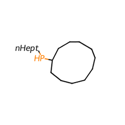 CCCCCCCPC1CCCCCCCCCC1